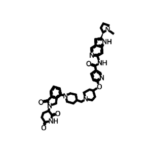 CN1CCC[C@@H]1c1cc2cnc(NC(=O)c3ccc(OC4CCN(CC5CCN(c6cccc7c6CN(C6CCC(=O)NC6=O)C7=O)CC5)CC4)nc3)cc2[nH]1